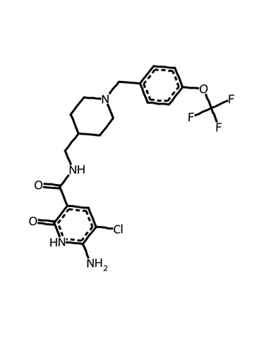 Nc1[nH]c(=O)c(C(=O)NCC2CCN(Cc3ccc(OC(F)(F)F)cc3)CC2)cc1Cl